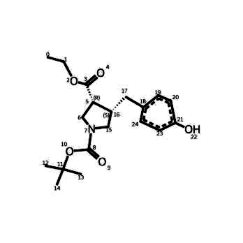 CCOC(=O)[C@H]1CN(C(=O)OC(C)(C)C)C[C@H]1Cc1ccc(O)cc1